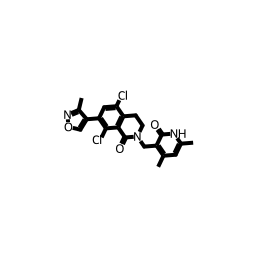 Cc1cc(C)c(CN2CCc3c(Cl)cc(-c4conc4C)c(Cl)c3C2=O)c(=O)[nH]1